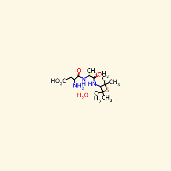 C[C@@H](NC(=O)C(N)CC(=O)O)C(=O)NC1C(C)(C)SC1(C)C.O